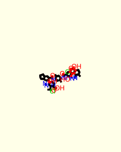 Cc1cc(NC(=O)c2cc3ccccc3c(/N=N\c3c(C)ccc(C(=O)O)c3C(C)Cl)c2O)c(C)cc1NC(=O)c1cc2ccccc2c(/N=N\c2c(C)ccc(C(=O)O)c2C(C)Cl)c1O